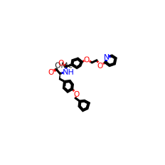 COC(=O)[C@H](Cc1ccc(OCc2ccccc2)cc1)NC(=O)c1ccc(OCCOc2ccccn2)cc1